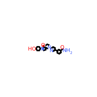 NC(=O)c1cccc(-c2ccc(N3CCC[C@@]4(CCN([C@H]5CC[C@H](O)CC5)C4=O)C3)nc2)c1